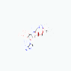 C[C@@H]1O[C@H](Nc2ccnc3nc[nH]c23)[C@H](O)[C@H](O)[C@H]1NC(=O)CN(C)C(=O)OC(C)(C)C